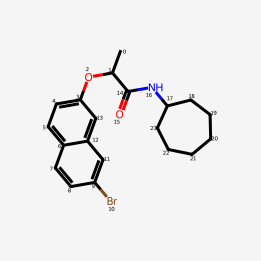 CC(Oc1ccc2ccc(Br)cc2c1)C(=O)NC1CCCCCC1